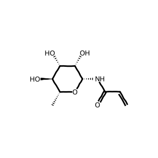 C=CC(=O)N[C@@H]1O[C@H](C)[C@@H](O)[C@H](O)[C@@H]1O